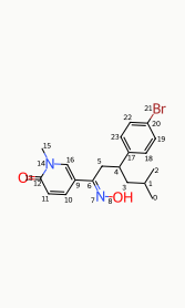 CC(C)CC(CC(=NO)c1ccc(=O)n(C)c1)c1ccc(Br)cc1